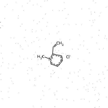 C=Cc1cccc[n+]1C.[Cl-]